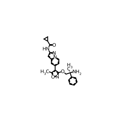 Cc1onc(OC[C@@](C)(N)c2ccccc2)c1-c1ccn2nc(NC(=O)C3CC3)cc2c1